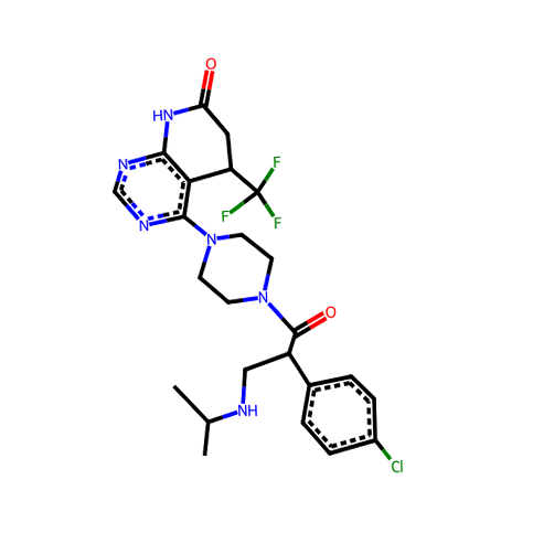 CC(C)NCC(C(=O)N1CCN(c2ncnc3c2C(C(F)(F)F)CC(=O)N3)CC1)c1ccc(Cl)cc1